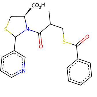 CC(CSC(=O)c1ccccc1)C(=O)N1C(c2cccnc2)SC[C@H]1C(=O)O